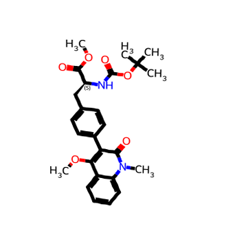 COC(=O)[C@H](Cc1ccc(-c2c(OC)c3ccccc3n(C)c2=O)cc1)NC(=O)OC(C)(C)C